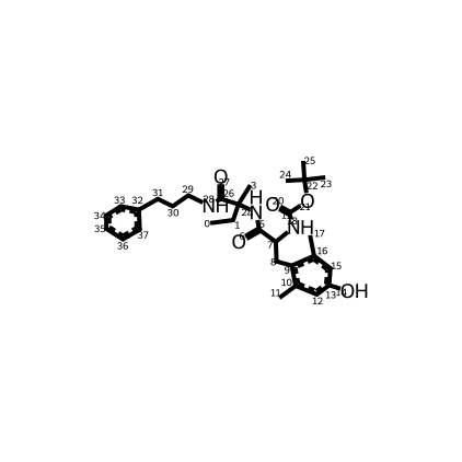 CCC(C)(NC(=O)C(Cc1c(C)cc(O)cc1C)NC(=O)OC(C)(C)C)C(=O)NCCCc1ccccc1